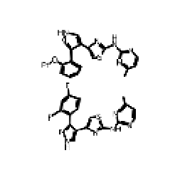 CCOc1ccccc1-c1n[nH]cc1-c1csc(Nc2nccc(C)n2)n1.Cc1ccnc(Nc2nc(-c3c[nH]nc3-c3ccc(F)cc3F)cs2)n1